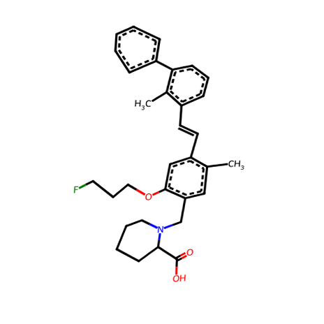 Cc1cc(CN2CCCCC2C(=O)O)c(OCCCF)cc1C=Cc1cccc(-c2ccccc2)c1C